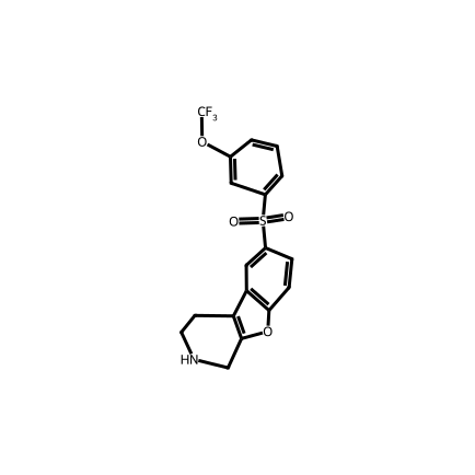 O=S(=O)(c1cccc(OC(F)(F)F)c1)c1ccc2oc3c(c2c1)CCNC3